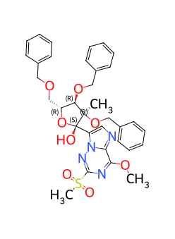 COc1nc(S(C)(=O)=O)nn2c([C@]3(O)O[C@H](COCc4ccccc4)[C@@H](OCc4ccccc4)[C@@]3(C)OCc3ccccc3)cnc12